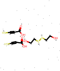 O=C(O)C#CS.O=C(O)C#CS.OCCSSCCO